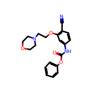 N#Cc1ccc(NC(=O)Oc2ccccc2)cc1OCCN1CCOCC1